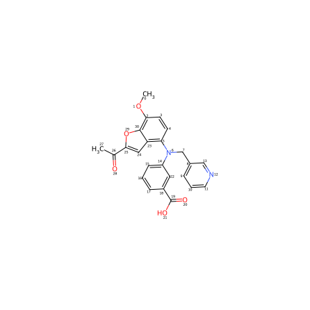 COc1ccc(N(Cc2cccnc2)c2cccc(C(=O)O)c2)c2cc(C(C)=O)oc12